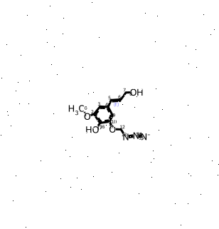 COc1cc(/C=C/CO)cc(OCN=[N+]=[N-])c1O